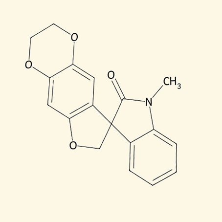 CN1C(=O)C2(COc3cc4c(cc32)OCCO4)c2ccccc21